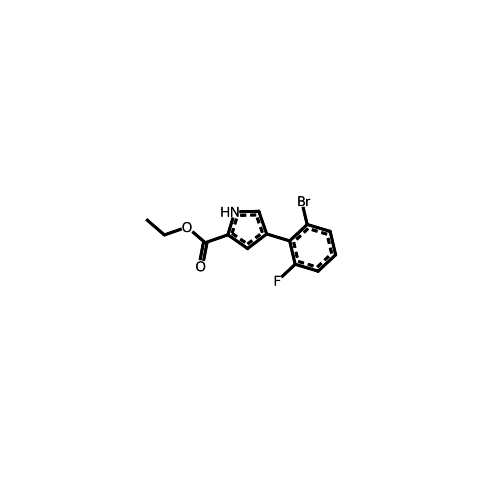 CCOC(=O)c1cc(-c2c(F)cccc2Br)c[nH]1